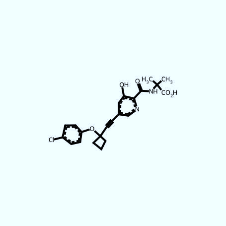 CC(C)(NC(=O)c1ncc(C#CC2(Oc3ccc(Cl)cc3)CCC2)cc1O)C(=O)O